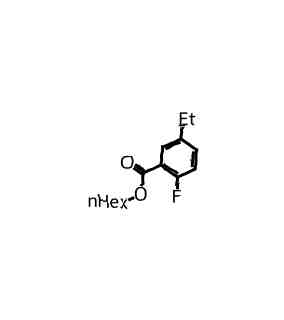 CCCCCCOC(=O)c1cc(CC)ccc1F